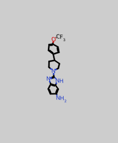 Nc1ccc2nc(N3CCC(c4ccc(OC(F)(F)F)cc4)CC3)[nH]c2c1